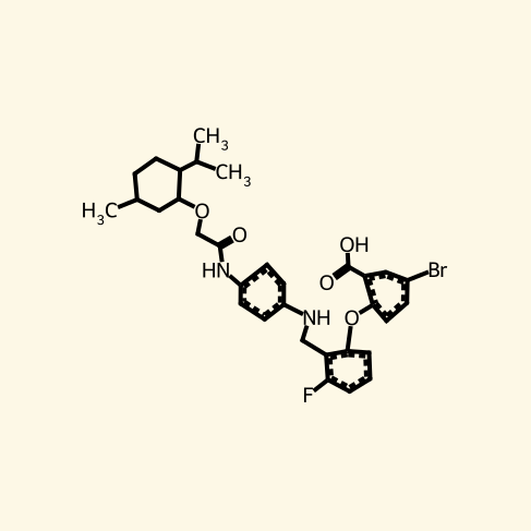 CC1CCC(C(C)C)C(OCC(=O)Nc2ccc(NCc3c(F)cccc3Oc3ccc(Br)cc3C(=O)O)cc2)C1